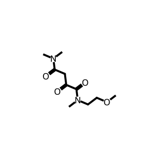 COCCN(C)C(=O)C(=O)CC(=O)N(C)C